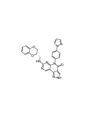 O=c1c2c[nH]nc2c2cnc(NC[C@H]3COc4ccccc4O3)nc2n1-c1ccc(-n2cccn2)cc1